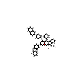 CC1(C)c2ccccc2-c2c(-c3ccccc3N(c3ccc(-c4ccc5ccccc5c4)cc3)c3cccc(-c4ccc5sc6ccccc6c5c4)c3)cccc21